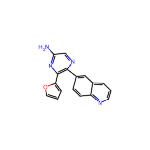 Nc1cnc(-c2ccc3ncccc3c2)c(-c2ccco2)n1